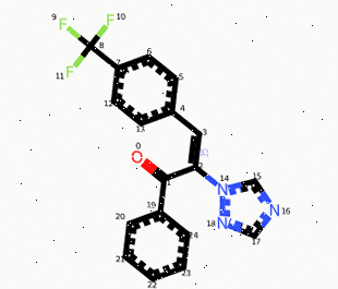 O=C(/C(=C\c1ccc(C(F)(F)F)cc1)n1cncn1)c1ccccc1